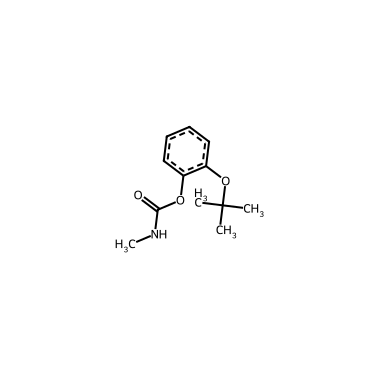 CNC(=O)Oc1ccccc1OC(C)(C)C